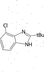 CC(C)(C)c1nc2c(Cl)cccc2[nH]1